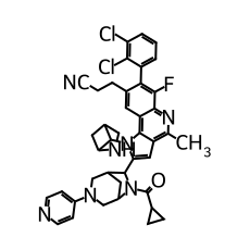 Cc1nc2c(F)c(-c3cccc(Cl)c3Cl)c(CCC#N)cc2c2c1cc(C1C3CC(CN(c4ccncc4)C3)N1C(=O)C1CC1)n2C1C2CNC1C2